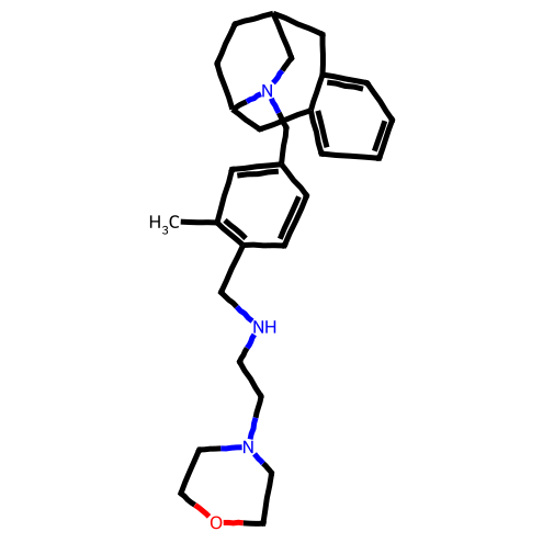 Cc1cc(CN2CC3CCC2Cc2ccccc2C3)ccc1CNCCN1CCOCC1